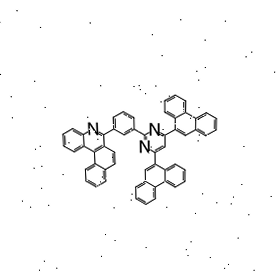 c1cc(-c2nc(-c3cc4ccccc4c4ccccc34)cc(-c3cc4ccccc4c4ccccc34)n2)cc(-c2nc3ccccc3c3c2ccc2ccccc23)c1